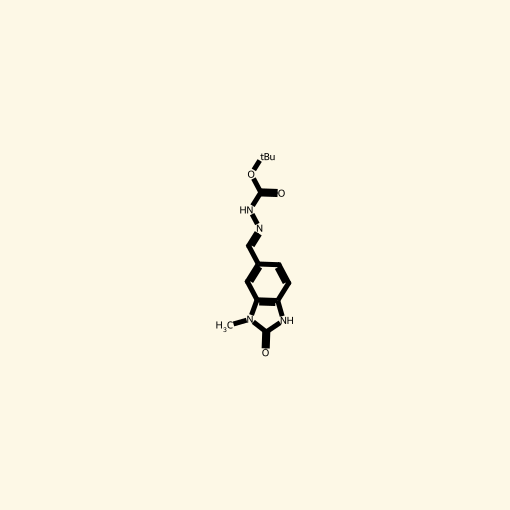 Cn1c(=O)[nH]c2ccc(/C=N/NC(=O)OC(C)(C)C)cc21